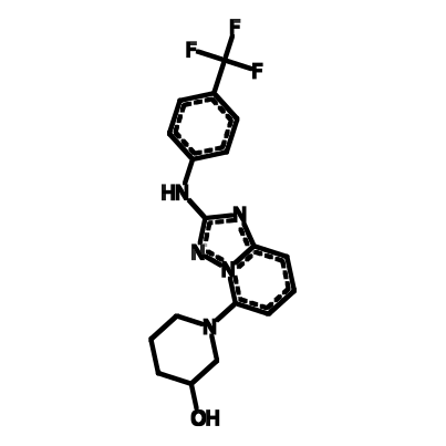 OC1CCCN(c2cccc3nc(Nc4ccc(C(F)(F)F)cc4)nn23)C1